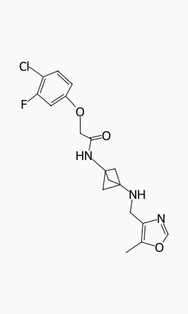 Cc1ocnc1CNC12CC(NC(=O)COc3ccc(Cl)c(F)c3)(C1)C2